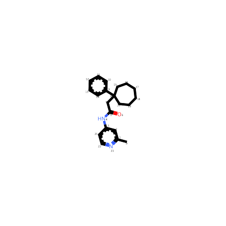 Cc1cc(NC(=O)CC2(c3ccccc3)CCCCCC2)ccn1